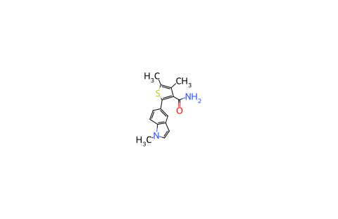 Cc1sc(-c2ccc3c(ccn3C)c2)c(C(N)=O)c1C